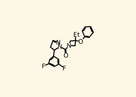 CCC1(Oc2ccccc2)CN(C(=O)N2N=CCC2c2cc(F)cc(F)c2)C1